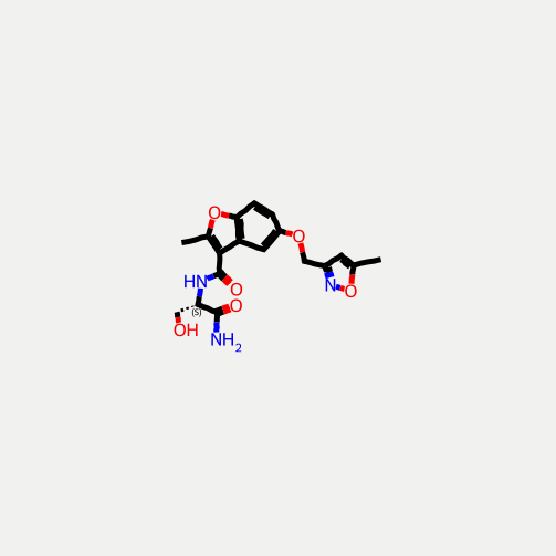 Cc1cc(COc2ccc3oc(C)c(C(=O)N[C@@H](CO)C(N)=O)c3c2)no1